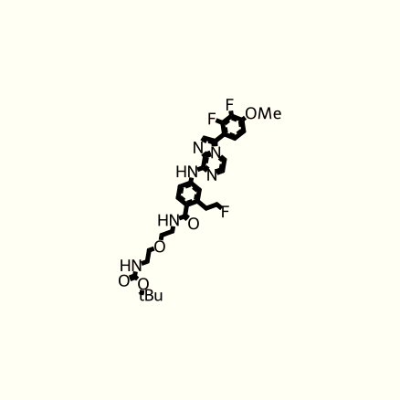 COc1ccc(-c2cnc3c(Nc4ccc(C(=O)NCCOCCNC(=O)OC(C)(C)C)c(CCF)c4)nccn23)c(F)c1F